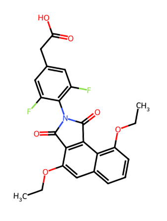 CCOc1cc2cccc(OCC)c2c2c1C(=O)N(c1c(F)cc(CC(=O)O)cc1F)C2=O